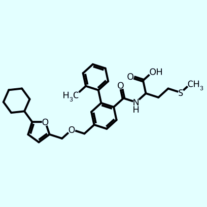 CSCCC(NC(=O)c1ccc(COCc2ccc(C3CCCCC3)o2)cc1-c1ccccc1C)C(=O)O